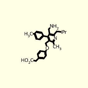 Cc1ccc(-c2c(COc3ccc(CC(=O)O)cc3)c(C)nc(CC(C)C)c2CN)cc1